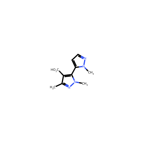 Cc1nn(C)c(-c2ccnn2C)c1C(=O)O